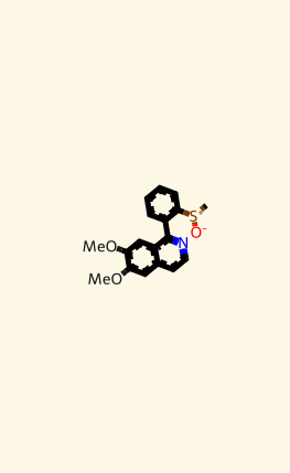 COc1cc2ccnc(-c3ccccc3[S+](C)[O-])c2cc1OC